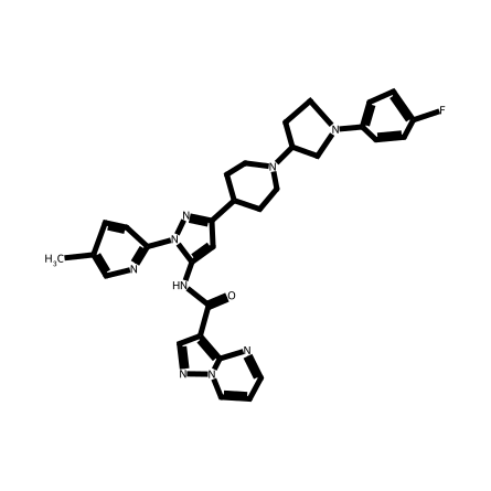 Cc1ccc(-n2nc(C3CCN(C4CCN(c5ccc(F)cc5)C4)CC3)cc2NC(=O)c2cnn3cccnc23)nc1